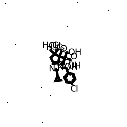 CCC1(CC)Cc2nc(C3CC3)n(Cc3ccc(Cl)cc3)c2C1(CC)C(C(=O)O)(C(=O)O)C(=O)O